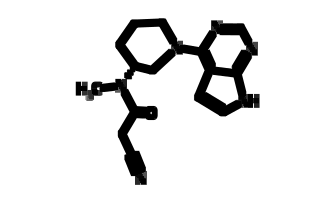 CN(C(=O)CC#N)[C@@H]1CCCN(c2ncnc3[nH]ccc23)C1